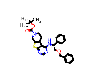 CC(C)(C)OC(=O)N1CCc2c(sc3ncnc(N[C@H](COCc4ccccc4)c4ccccc4)c23)C1